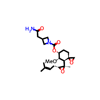 CO[C@@H]1[C@H](OC(=O)N2CC(CC(N)=O)C2)CC[C@]2(CO2)[C@H]1[C@@]1(C)O[C@@H]1CC=C(C)C